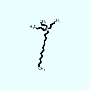 CCCCCCCCCCCCC[PH](CCC)(CCCC)CCCC